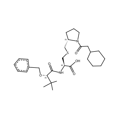 CC(C)(C)[C@H](OCc1ccccc1)C(=O)N[C@@H](CSC[C@@H]1CCCN1C(=O)CC1CCCCC1)C(=O)O